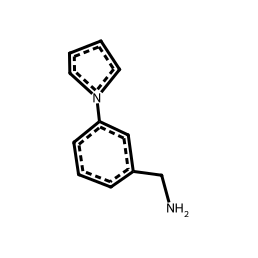 NCc1cccc(-n2cccc2)c1